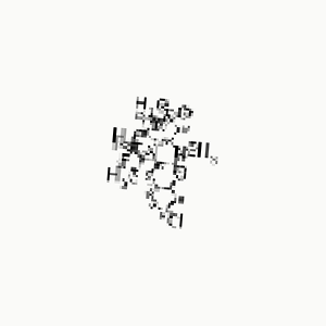 Cc1c(-c2ccc(Cl)cc2)c(C(=O)N(C)CCS(C)(=O)=O)n(CC2(C)CC2)c1C(F)(F)F